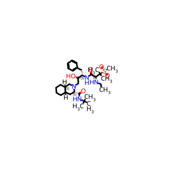 CCN[C@H](C(=O)N[C@@H](Cc1ccccc1)[C@H](O)CN1C[C@H]2CCCC[C@H]2C[C@H]1C(=O)NC(C)(C)C)C(C)(C)S(C)(=O)=O